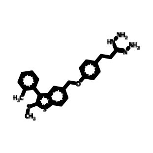 CSc1sc2ccc(COc3ccc(CC/C(=N/N)NN)cc3)cc2c1-c1ccccc1C